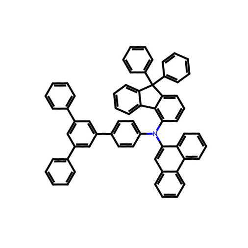 c1ccc(-c2cc(-c3ccccc3)cc(-c3ccc(N(c4cccc5c4-c4ccccc4C5(c4ccccc4)c4ccccc4)c4cc5ccccc5c5ccccc45)cc3)c2)cc1